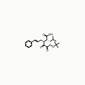 CC(C)C[C@@H](C(=O)O)[C@H](C/C=C/c1ccccc1)C(=O)C(=O)OOC(C)(C)C